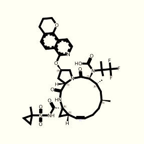 C[C@H]1CC/C=C\[C@@H]2C[C@@]2(C(=O)NS(=O)(=O)C2(C)CC2)NC(=O)[C@@H]2C[C@@H](Oc3nccc4c5c(ccc34)CCCO5)CN2C(=O)[C@@H](N(C(=O)O)C(C)(C)C(F)(F)F)[C@H](C)C1